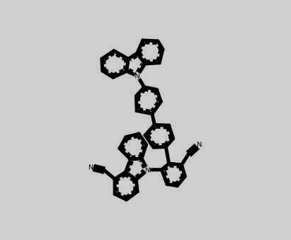 N#Cc1cccc(-n2c3ccccc3c3c(C#N)cccc32)c1-c1ccc(-c2ccc(-n3c4ccccc4c4ccccc43)cc2)cc1